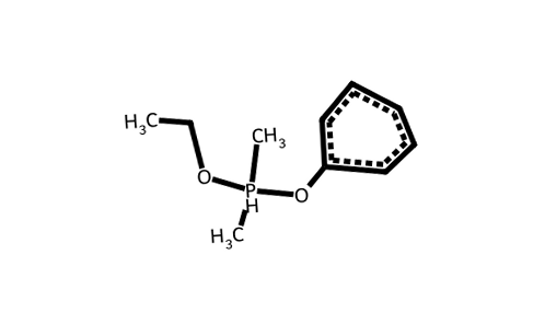 CCO[PH](C)(C)Oc1ccccc1